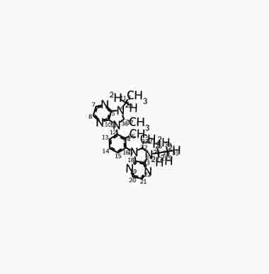 [2H]C([2H])(C)N1c2nccnc2N(c2cccc(N3c4nccnc4N(C([2H])([2H])C([2H])([2H])[2H])[C@H]3C)c2C)[C@H]1C